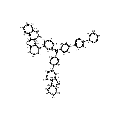 c1ccc(-c2ccc(-c3ccc(N(c4ccc(-c5ccc6c(c5)oc5ccccc56)cc4)c4cccc(-c5cccc6oc7c8ccccc8ccc7c56)c4)cc3)cc2)cc1